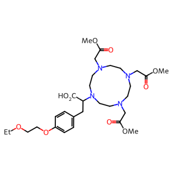 CCOCCOc1ccc(CC(C(=O)O)N2CCN(CC(=O)OC)CCN(CC(=O)OC)CCN(CC(=O)OC)CC2)cc1